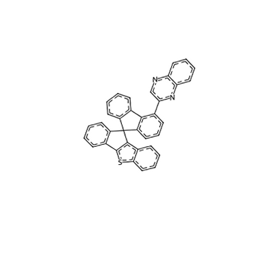 c1ccc2c(c1)-c1sc3ccccc3c1C21c2ccccc2-c2c(-c3cnc4ccccc4n3)cccc21